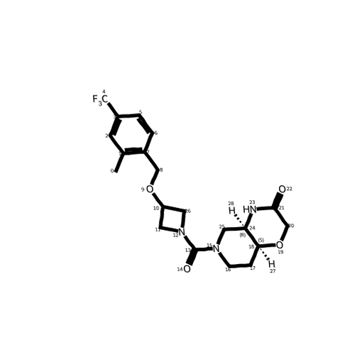 Cc1cc(C(F)(F)F)ccc1COC1CN(C(=O)N2CC[C@@H]3OCC(=O)N[C@@H]3C2)C1